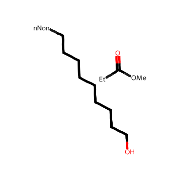 CCC(=O)OC.CCCCCCCCCCCCCCCCCCO